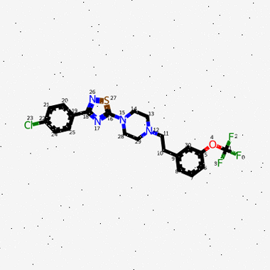 FC(F)(F)Oc1cccc(CCN2CCN(c3nc(-c4ccc(Cl)cc4)ns3)CC2)c1